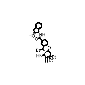 CCC(c1cccc(C(=O)N[C@@H]2c3ccccc3C[C@H]2O)c1)N1C(=N)NC(CC)(CC)CC1=O